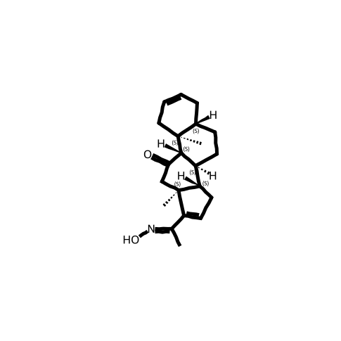 CC(=NO)C1=CC[C@H]2[C@@H]3CC[C@H]4CC=CC[C@]4(C)[C@H]3C(=O)C[C@]12C